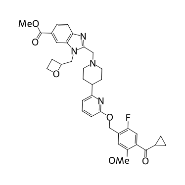 COC(=O)c1ccc2nc(CN3CCC(c4cccc(OCc5cc(OC)c(C(=O)C6CC6)cc5F)n4)CC3)n(CC3CCO3)c2c1